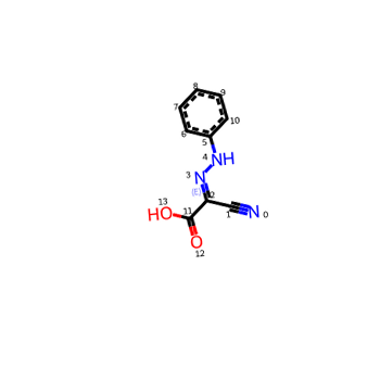 N#C/C(=N\Nc1ccccc1)C(=O)O